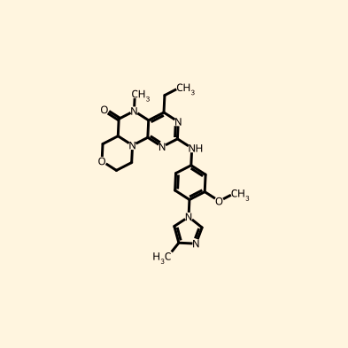 CCc1nc(Nc2ccc(-n3cnc(C)c3)c(OC)c2)nc2c1N(C)C(=O)C1COCCN21